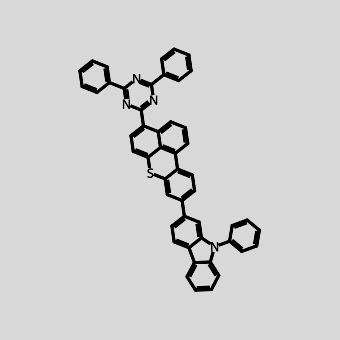 c1ccc(-c2nc(-c3ccccc3)nc(-c3ccc4c5c(cccc35)-c3ccc(-c5ccc6c7ccccc7n(-c7ccccc7)c6c5)cc3S4)n2)cc1